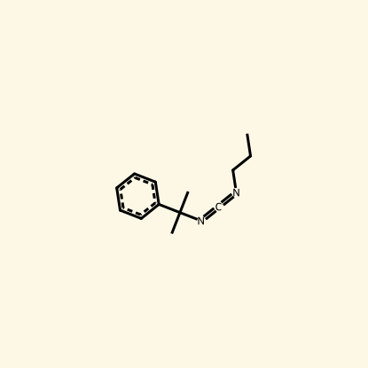 CCCN=C=NC(C)(C)c1ccccc1